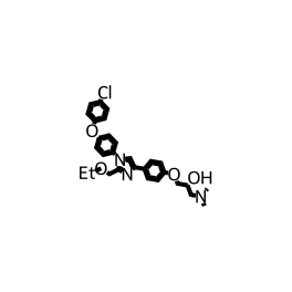 CCOCc1nc(-c2ccc(OCC(O)CN(C)C)cc2)cn1-c1ccc(Oc2ccc(Cl)cc2)cc1